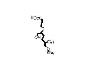 CCCCCCCCCCCCOC([CH]CC(O)COCCCC)CO